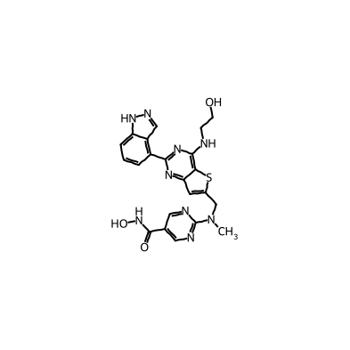 CN(Cc1cc2nc(-c3cccc4[nH]ncc34)nc(NCCO)c2s1)c1ncc(C(=O)NO)cn1